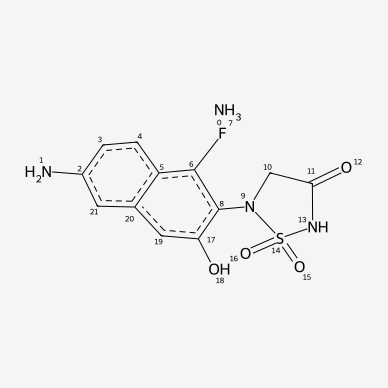 N.Nc1ccc2c(F)c(N3CC(=O)NS3(=O)=O)c(O)cc2c1